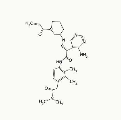 C=CC(=O)N1CCCC(n2nc(C(=O)Nc3ccc(CC(=O)N(C)C)c(C)c3C)c3c(N)ncnc32)C1